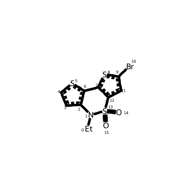 CCN1c2ccsc2-c2sc(Br)cc2S1(=O)=O